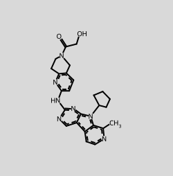 Cc1nccc2c3cnc(Nc4ccc5c(n4)CCN(C(=O)CO)C5)nc3n(C3CCCC3)c12